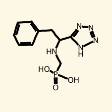 O=P(O)(O)CNC(Cc1ccccc1)c1nnn[nH]1